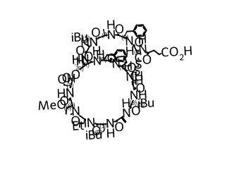 C=C1NC(=O)[C@H]([C@@H](C)CC)NC(=O)[C@@H]2CSSC[C@H](NC(=O)CCC(=O)O)C(=O)N[C@H](Cc3ccccc3)C(=O)N[C@H](C)C(=O)NC(C[C@@H](C)CC)C(=O)N[C@@H](C(=O)N[C@H](Cc3ccccc3)C(=O)N3CCC[C@H]3C(=O)N2)[C@@H](C)OC(=O)[C@H](CO)NC(=O)[C@H]([C@@H](C)OC)N(C)C(=O)C(CC)NC(=O)[C@H](C[C@H](C)CC)NC1=O